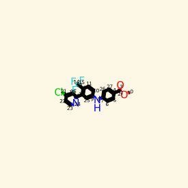 COC(=O)c1ccc(Nc2ccc(C(F)(F)F)c(-c3cc(Cl)ccn3)c2)cc1